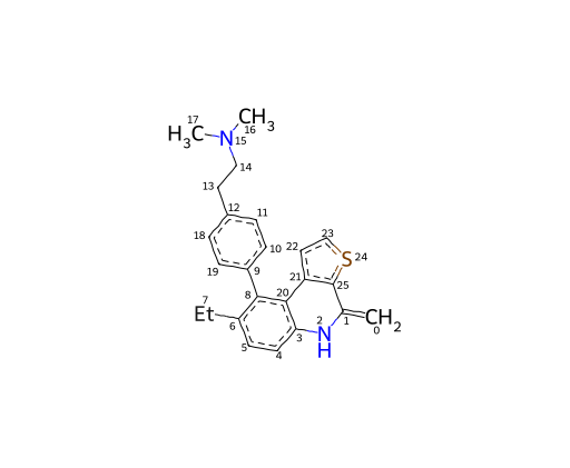 C=C1Nc2ccc(CC)c(-c3ccc(CCN(C)C)cc3)c2-c2ccsc21